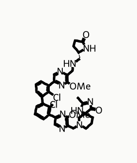 COc1nc(-c2cccc(-c3cccc(-c4cnc(CN5CCCC6(C5)NC(C)=NC6=O)c(OC)n4)c3Cl)c2Cl)cnc1CNC[C@@H]1CCC(=O)N1